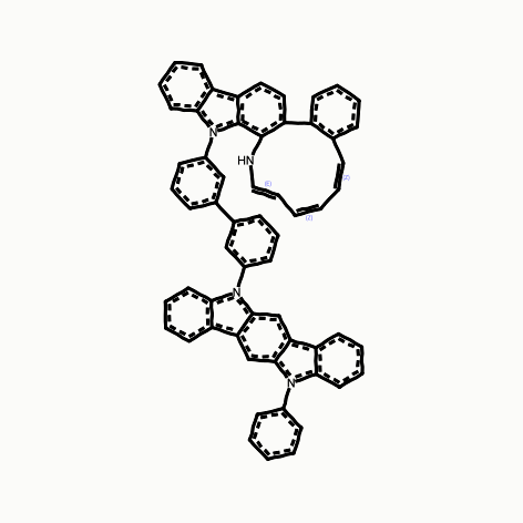 C1=C\C=C\Nc2c(ccc3c4ccccc4n(-c4cccc(-c5cccc(-n6c7ccccc7c7cc8c(cc76)c6ccccc6n8-c6ccccc6)c5)c4)c23)-c2ccccc2\C=C/1